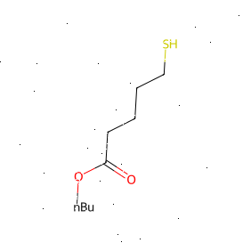 CCCCOC(=O)CCCCS